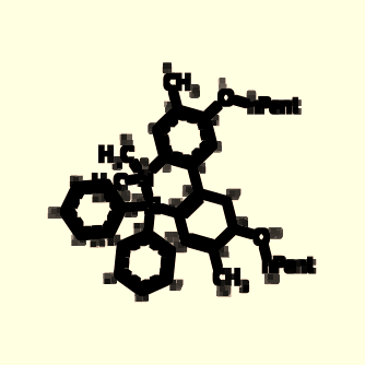 CCCCCOc1cc2c(cc1C)[Si](C)(C)[Si](c1ccccc1)(c1ccccc1)C1=C2CC(OCCCCC)C(C)=C1